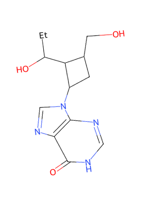 CCC(O)C1C(CO)CC1n1cnc2c(=O)[nH]cnc21